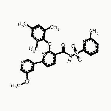 COc1cncc(-c2ccc(C(=O)NS(=O)(=O)c3cccc(N)n3)c(Oc3c(C)cc(C)cc3C)n2)c1